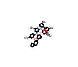 CC(C)(C)c1ccc(N2c3cc(C(C)(C)C)cc4c3B(c3cc(C(C)(C)C)ccc3N4c3ccc(C(C)(C)C)cc3-c3cc(C(C)(C)C)cc(C(C)(C)C)c3)c3ccc4c(oc5c6c(ccc54)CCC6)c32)cc1